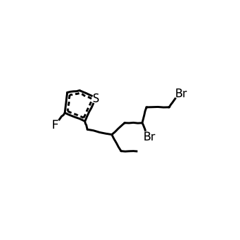 CCC(Cc1sccc1F)CC(Br)CCBr